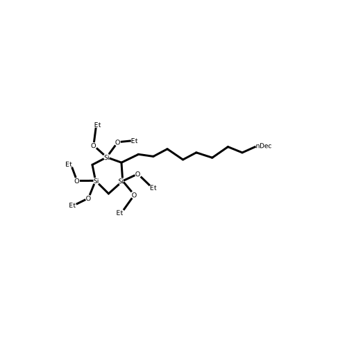 CCCCCCCCCCCCCCCCCCC1[Si](OCC)(OCC)C[Si](OCC)(OCC)C[Si]1(OCC)OCC